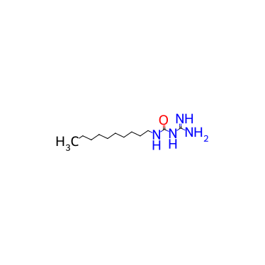 CCCCCCCCCCNC(=O)NC(=N)N